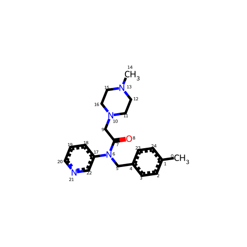 Cc1ccc(CN(C(=O)CN2CCN(C)CC2)c2cccnc2)cc1